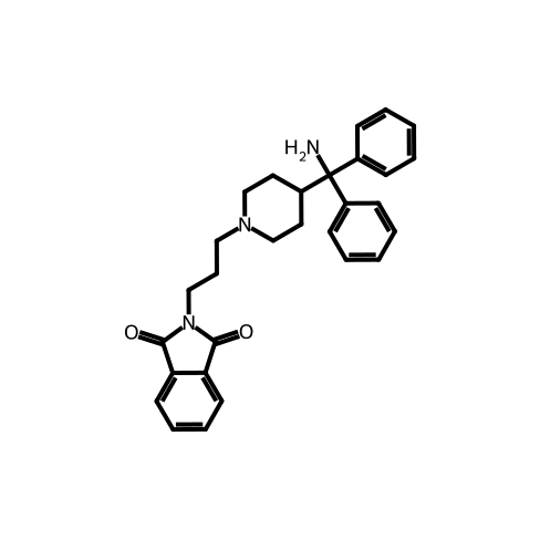 NC(c1ccccc1)(c1ccccc1)C1CCN(CCCN2C(=O)c3ccccc3C2=O)CC1